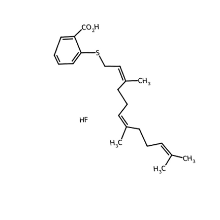 CC(C)=CCCC(C)=CCCC(C)=CCSc1ccccc1C(=O)O.F